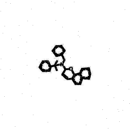 CC(C)(c1ccccc1)N(Cc1ccccc1)C1C=Cc2ccc3ccccc3c2O1